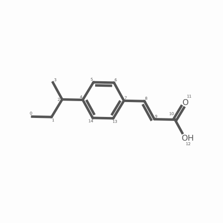 CCC(C)c1ccc(/C=C/C(=O)O)cc1